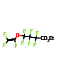 CCOC(=O)C(F)(F)C(F)(F)C(F)(F)OC(F)=C(F)F